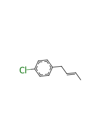 CC=CCc1ccc(Cl)cc1